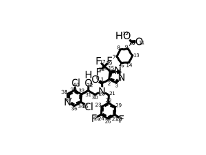 O=C(c1cnn([C@H]2CC[C@H](C(=O)O)CC2)c1C(F)(F)F)N(Cc1cc(F)cc(F)c1)CC(O)c1c(Cl)cncc1Cl